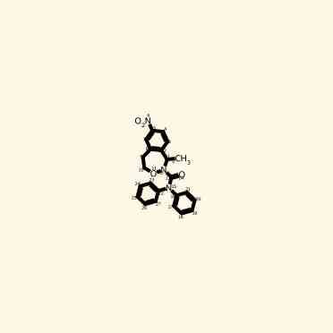 CC1c2ccc([N+](=O)[O-])cc2CCON1C(=O)N(c1ccccc1)c1ccccc1